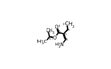 CCC(=CN)C(=O)OC(C)C